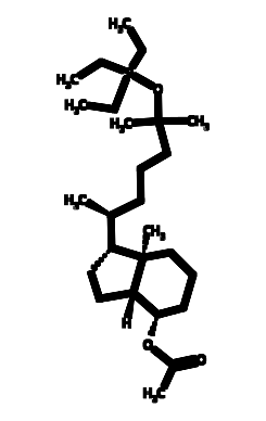 CC[Si](CC)(CC)OC(C)(C)CCC[C@H](C)[C@H]1CC[C@H]2[C@@H](OC(C)=O)CCC[C@]12C